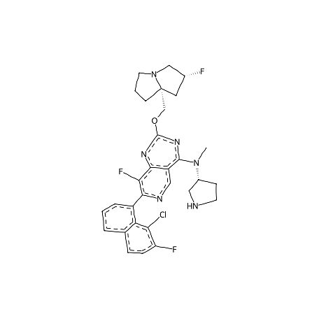 CN(c1nc(OC[C@]23CCCN2C[C@H](F)C3)nc2c(F)c(-c3cccc4ccc(F)c(Cl)c34)ncc12)[C@@H]1CCNC1